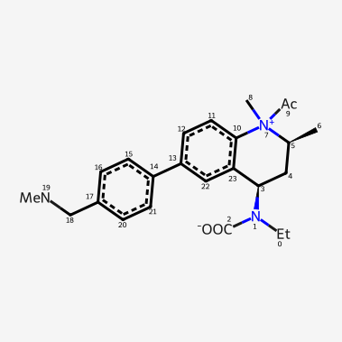 CCN(C(=O)[O-])[C@@H]1C[C@H](C)[N+](C)(C(C)=O)c2ccc(-c3ccc(CNC)cc3)cc21